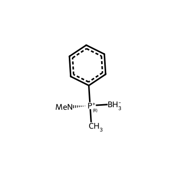 [BH3-][P@+](C)(NC)c1ccccc1